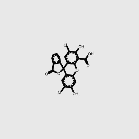 O=C1OC2(c3cc(Cl)c(O)cc3Oc3c2cc(Cl)c(O)c3C(=O)O)c2ccccc21